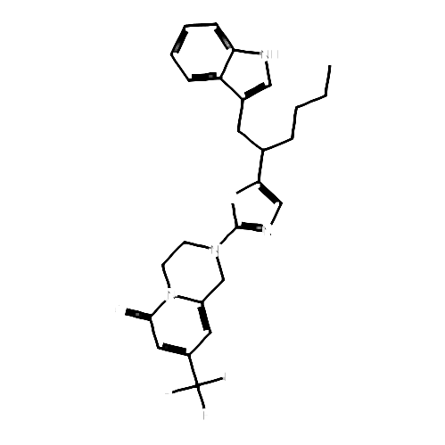 CCCCC(Cc1c[nH]c2ccccc12)c1cnc(N2CCn3c(cc(C(F)(F)F)cc3=O)C2)s1